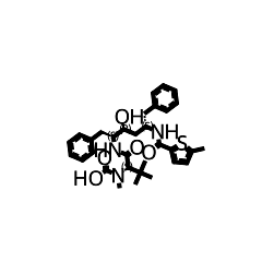 Cc1ccc(C(=O)N[C@@H](Cc2ccccc2)C[C@@H](O)[C@H](Cc2ccccc2)NC(=O)[C@@H](N(C)C(=O)O)C(C)(C)C)s1